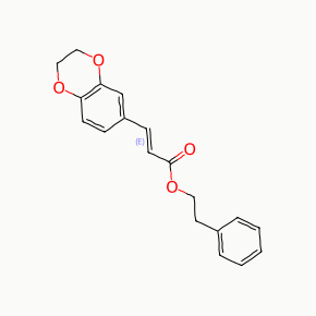 O=C(/C=C/c1ccc2c(c1)OCCO2)OCCc1ccccc1